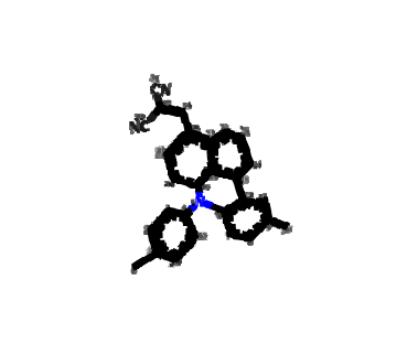 Cc1ccc(N2c3ccc(C)cc3-c3cccc4c(C=C(C#N)C#N)ccc2c34)cc1